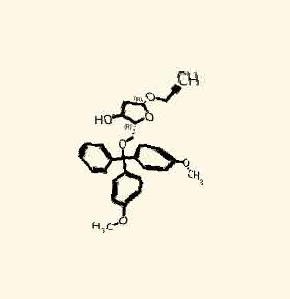 C#CCO[C@H]1CC(O)[C@@H](COC(c2ccccc2)(c2ccc(OC)cc2)c2ccc(OC)cc2)O1